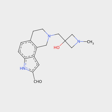 CN1CC(O)(CN2CCc3ccc4[nH]c(C=O)cc4c3C2)C1